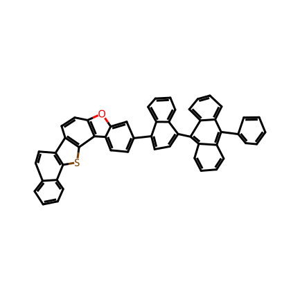 c1ccc(-c2c3ccccc3c(-c3ccc(-c4ccc5c(c4)oc4ccc6c7ccc8ccccc8c7sc6c45)c4ccccc34)c3ccccc23)cc1